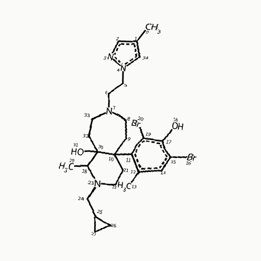 Cc1cnn(CCN2CCC3(c4c(C)cc(Br)c(O)c4Br)CCN(CC4CC4)C(C)C3(O)CC2)c1